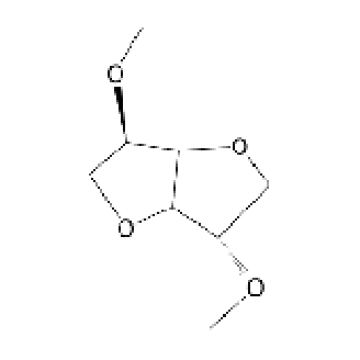 CO[C@H]1COC2C1OC[C@H]2OC